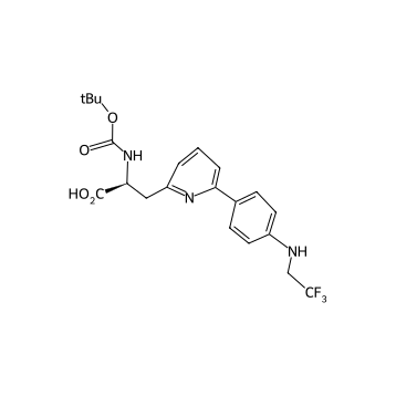 CC(C)(C)OC(=O)N[C@@H](Cc1cccc(-c2ccc(NCC(F)(F)F)cc2)n1)C(=O)O